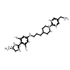 CCc1cnc(N2CCC(CCCOc3cc(F)c(C4=NC[C@@H](C)O4)c(F)c3)CC2)nc1